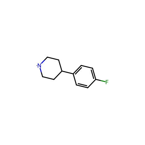 Fc1ccc(C2CC[N]CC2)cc1